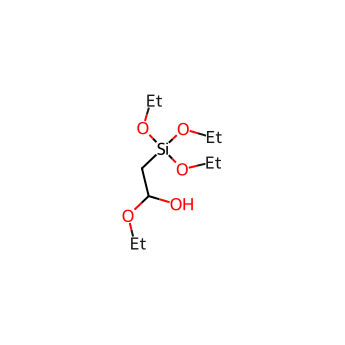 CCOC(O)C[Si](OCC)(OCC)OCC